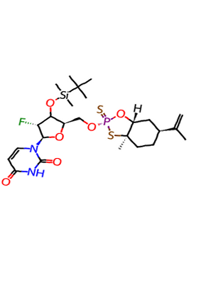 C=C(C)[C@H]1CC[C@@]2(C)S[P@](=S)(OC[C@H]3O[C@@H](n4ccc(=O)[nH]c4=O)[C@H](F)C3O[Si](C)(C)C(C)(C)C)O[C@@H]2C1